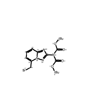 CC(C)(C)OC(=O)N(C(=O)OC(C)(C)C)c1nc2cccc(CBr)n2n1